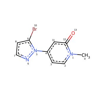 Cn1ccc(-n2nccc2Br)cc1=O